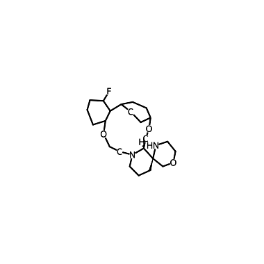 FC1CCCC2OCCN3CCC[C@@]4(COCCN4)[C@@H]3COC3CCC(CC3)C12